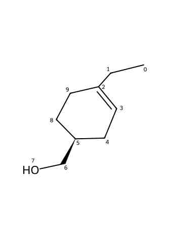 CCC1=CC[C@@H](CO)CC1